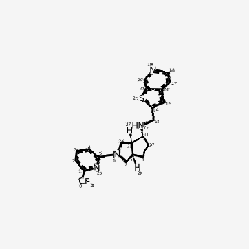 FC(F)(F)c1cccc(N2C[C@H]3CC[C@H](NCc4cc5ccncc5s4)[C@H]3C2)n1